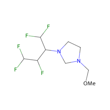 COCN1CCN(C(C(F)F)C(F)C(F)F)C1